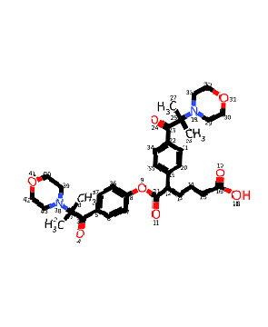 CC(C)(C(=O)c1ccc(OC(=O)C(CCCC(=O)O)c2ccc(C(=O)C(C)(C)N3CCOCC3)cc2)cc1)N1CCOCC1